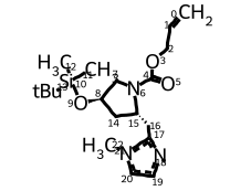 C=CCOC(=O)N1C[C@H](O[Si](C)(C)C(C)(C)C)C[C@H]1Cc1nccn1C